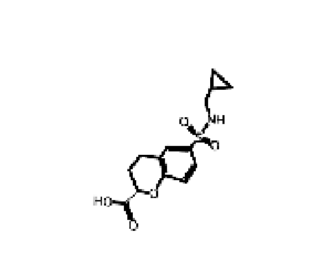 O=C(O)[C@@H]1CCc2cc(S(=O)(=O)NCC3CC3)ccc2O1